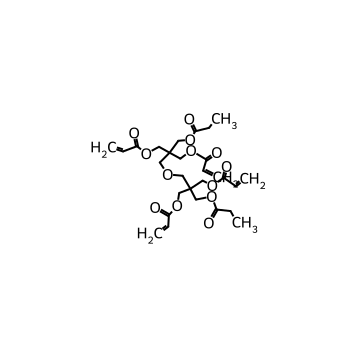 C=CC(=O)OCC(COCC(COC(=O)C=C)(COC(=O)C=C)COC(=O)CC)(COC(=O)C=C)COC(=O)CC